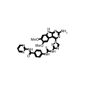 COc1cc2[nH]c3nc(N)nc(-n4cnc(NC(=S)Nc5ccc(C(=O)Nc6ncccn6)cc5)n4)c3c2cc1OC